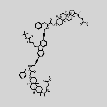 COC(=O)CC[C@@H](C)C(C)C1(C)CCC2[C@@H](CC[C@H]3C[C@H](OC(=O)[C@H](Cc4ccccc4)NCC#Cc4ccc5c6ccc(C#CCN[C@@H](Cc7ccccc7)C(=O)O[C@@H]7CCC8(C)C9CCC%10(C)C([C@H](C)CCC(=O)OC)CC[C@H]%10[C@@H]9CC[C@@H]8C7)cc6n(CCNC(=O)OC(C)(C)C)c5c4)CCC23C)C1